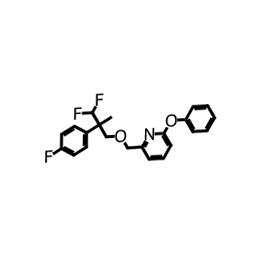 CC(COCc1cccc(Oc2ccccc2)n1)(c1ccc(F)cc1)C(F)F